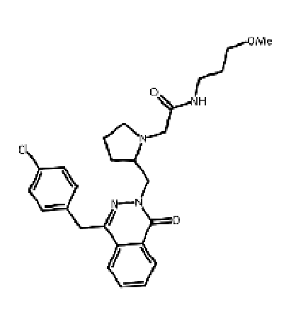 COCCCNC(=O)CN1CCCC1Cn1nc(Cc2ccc(Cl)cc2)c2ccccc2c1=O